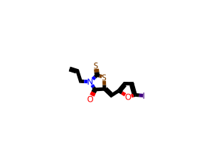 C=CCN1C(=O)C(=Cc2ccc(I)o2)SC1=S